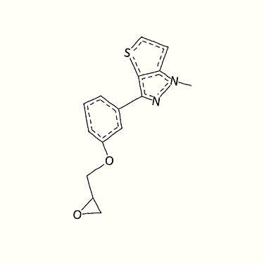 Cn1nc(-c2cccc(OCC3CO3)c2)c2sccc21